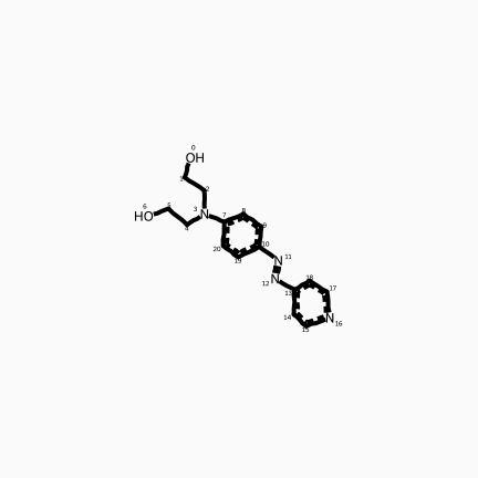 OCCN(CCO)c1ccc(N=Nc2ccncc2)cc1